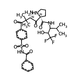 CC(C)C(NC(=O)[C@@]1(C(=O)[C@@H](N)C(C)(C)C(=O)c2ccc(S(=O)(=O)NC(=O)c3ccccc3)cc2)CCCN1)C(O)C(F)(F)F